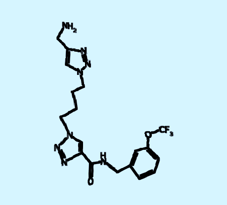 NCc1cn(CCCCn2cc(C(=O)NCc3cccc(OC(F)(F)F)c3)nn2)nn1